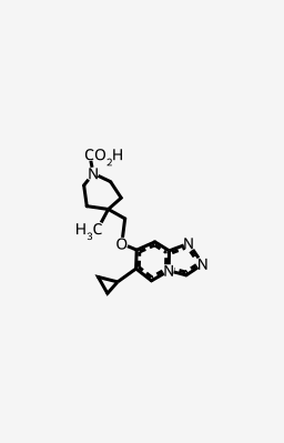 CC1(COc2cc3nncn3cc2C2CC2)CCN(C(=O)O)CC1